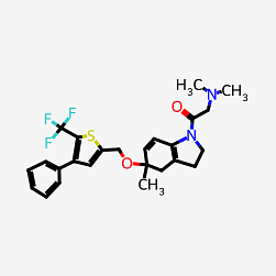 CN(C)CC(=O)N1CCC2=C1C=CC(C)(OCc1cc(-c3ccccc3)c(C(F)(F)F)s1)C2